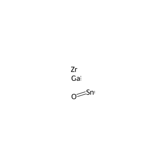 [Ga].[O]=[Sn].[Zr]